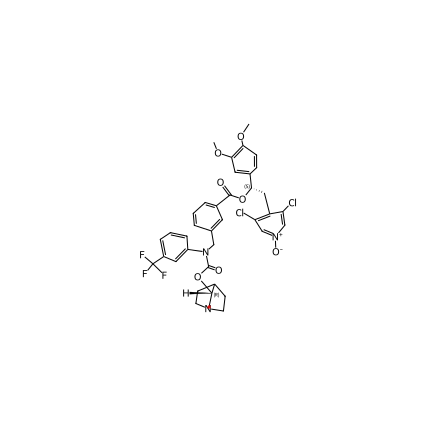 COc1ccc([C@H](Cc2c(Cl)c[n+]([O-])cc2Cl)OC(=O)c2cccc(CN(C(=O)O[C@H]3CN4CCC3CC4)c3cccc(C(F)(F)F)c3)c2)cc1OC